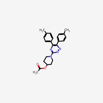 CC(=O)OC1CCN(c2nnc(-c3ccc(C)cc3)c(-c3ccc(C)cc3)n2)CC1